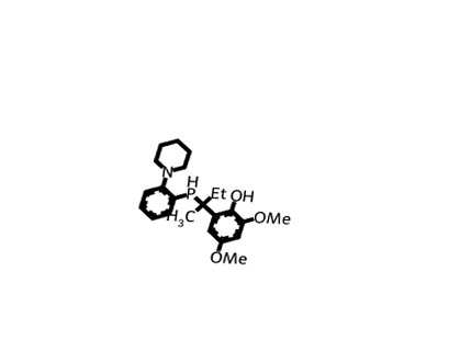 CCC(C)(Pc1ccccc1N1CCCCC1)c1cc(OC)cc(OC)c1O